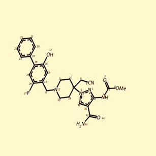 COC(=O)Nc1nn(C2(CC#N)CCN(Cc3cc(O)c(-c4ccccc4)cc3F)CC2)cc1C(N)=O